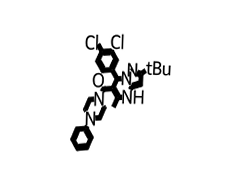 CC1=C(C(=O)N2CCN(c3ccccc3)CC2)C(c2ccc(Cl)c(Cl)c2)n2nc(C(C)(C)C)cc2N1